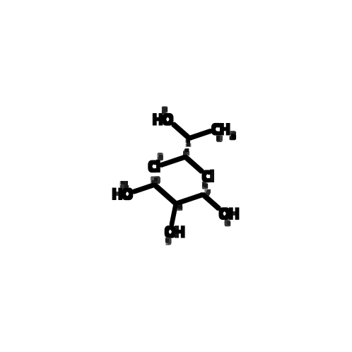 CCO.ClCCl.OCC(O)CO